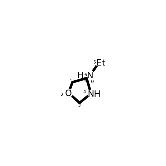 C1COCN1.CCN